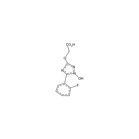 O=C(O)COc1nc(-c2ccccc2F)n(O)n1